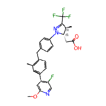 COc1cc(-c2ccc(Cc3ccc(N4N=C(C(F)(F)F)[C@@H](C)[C@@H]4CC(=O)O)cc3)c(C)c2)c(F)cn1